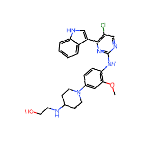 COc1cc(N2CCC(NCCO)CC2)ccc1Nc1ncc(Cl)c(-c2c[nH]c3ccccc23)n1